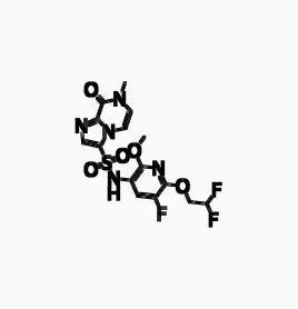 COc1nc(OCC(F)F)c(F)cc1NS(=O)(=O)c1cnc2c(=O)n(C)ccn12